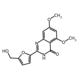 COc1cc(OC)c2c(=O)[nH]c(-c3ccc(CO)o3)nc2c1